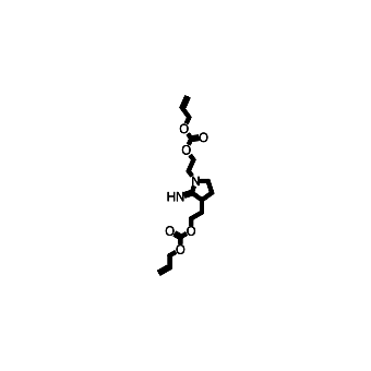 C=CCOC(=O)OCCC1CCN(CCOC(=O)OCC=C)C1=N